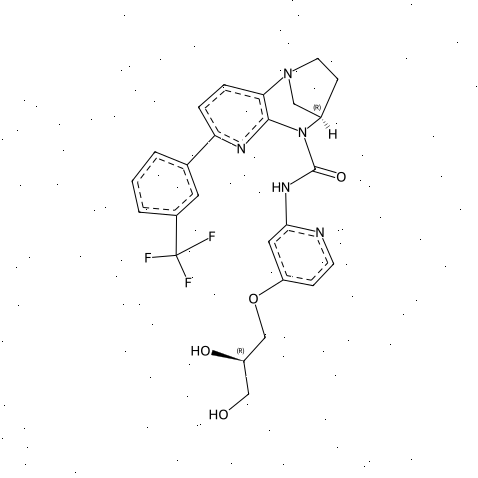 O=C(Nc1cc(OC[C@H](O)CO)ccn1)N1c2nc(-c3cccc(C(F)(F)F)c3)ccc2N2CC[C@@H]1C2